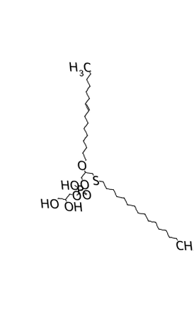 CCCCCCC=CCCCCCCCCOC(COP(=O)(O)OCC(O)CO)CSCCCCCCCCCCCCCCCC